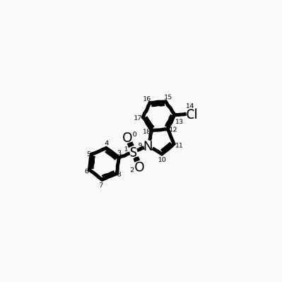 O=S(=O)(c1ccccc1)n1ccc2c(Cl)cccc21